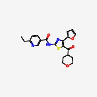 CCc1ccc(C(=O)Nc2nc(-c3ccco3)c(C(=O)C3CCOCC3)s2)cn1